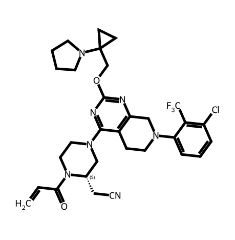 C=CC(=O)N1CCN(c2nc(OCC3(N4CCCC4)CC3)nc3c2CCN(c2cccc(Cl)c2C(F)(F)F)C3)C[C@@H]1CC#N